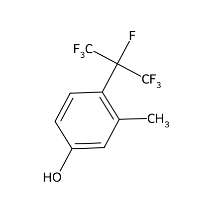 Cc1cc(O)ccc1C(F)(C(F)(F)F)C(F)(F)F